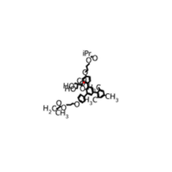 C=C(C)C(=O)OCCCOc1ccc(-c2cc(-c3c(C)cc(C)cc3C)cc(-c3ccc(OCCCOC(=O)C(C)C)cc3)c2OC(=O)C(C)(CO)CO)cc1